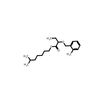 CCC(OCc1ccccc1C)C(=O)OCCCCCC(C)C